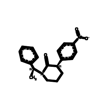 C[C@@H](c1ccccc1)N1CCC[C@H](c2ccc([N+](=O)[O-])cc2)C1=O